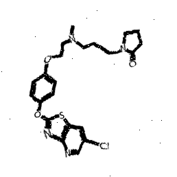 CN(CCCN1CCCC1=O)CCOc1ccc(Oc2nc3ncc(Cl)cc3s2)cc1